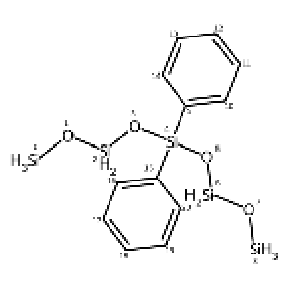 [SiH3]O[SiH2]O[Si](O[SiH2]O[SiH3])(c1ccccc1)c1ccccc1